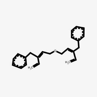 C=CC(=CCOCC=C(C=C)Cc1ccccc1)Cc1ccccc1